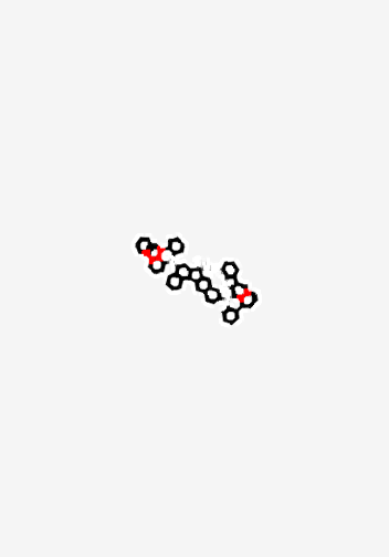 CC1(C)c2cc3cc(N(c4ccccc4-c4ccccc4)c4cccc5c4oc4ccccc45)ccc3cc2-c2c1cc(N(c1ccccc1-c1ccccc1)c1cccc3c1oc1ccccc13)c1ccccc21